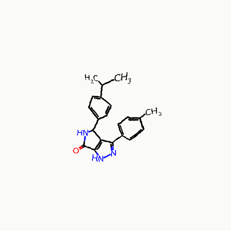 Cc1ccc(-c2n[nH]c3c2C(c2ccc(C(C)C)cc2)NC3=O)cc1